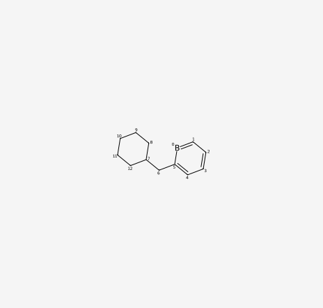 b1ccccc1CC1CCCCC1